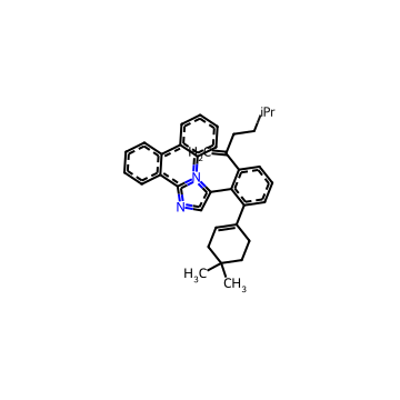 C=C(CCC(C)C)c1cccc(C2=CCC(C)(C)CC2)c1-c1cnc2c3ccccc3c3ccccc3n12